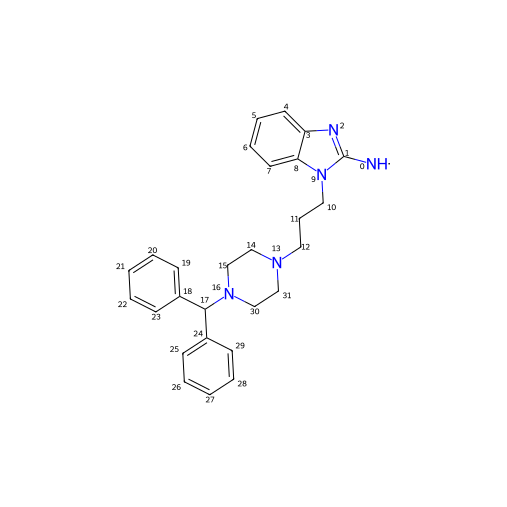 [NH]c1nc2ccccc2n1CCCN1CCN(C(c2ccccc2)c2ccccc2)CC1